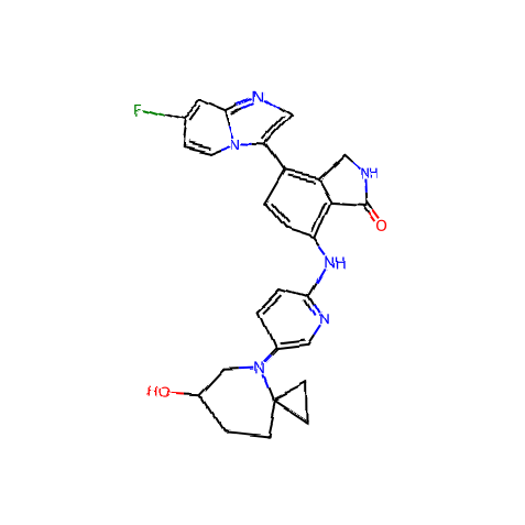 O=C1NCc2c(-c3cnc4cc(F)ccn34)ccc(Nc3ccc(N4CC(O)CCC45CC5)cn3)c21